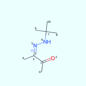 CC(=O)/C(C)=N\NC(C)(C)C